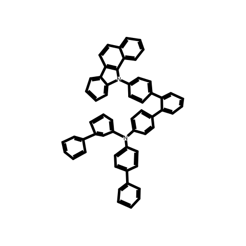 c1ccc(-c2ccc(N(c3ccc(-c4ccccc4-c4ccc(-n5c6ccccc6c6ccc7ccccc7c65)cc4)cc3)c3cccc(-c4ccccc4)c3)cc2)cc1